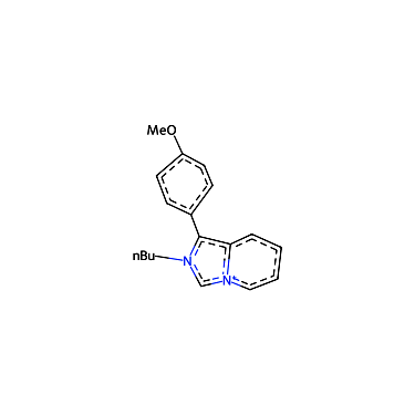 CCCCn1c[n+]2ccccc2c1-c1ccc(OC)cc1